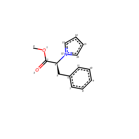 COC(=O)[C@H](Cc1ccccc1)n1cccc1